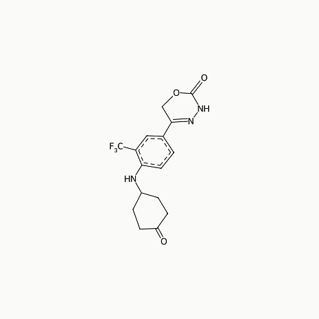 O=C1CCC(Nc2ccc(C3=NNC(=O)OC3)cc2C(F)(F)F)CC1